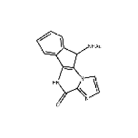 CC(=O)NC1c2ccccc2-c2[nH]c(=O)c3nccn3c21